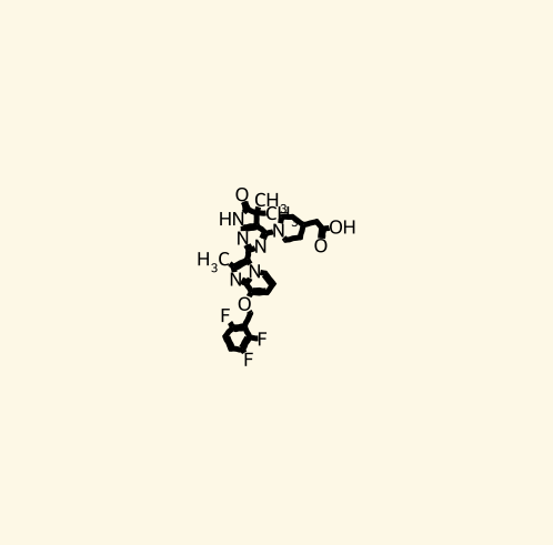 Cc1nc2c(OCc3c(F)ccc(F)c3F)cccn2c1-c1nc2c(c(N3CCC(CC(=O)O)CC3)n1)C(C)(C)C(=O)N2